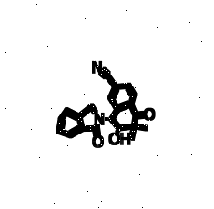 CC1(C)C(=O)c2ccc(C#N)cc2[C@@H](N2Cc3ccccc3C2=O)[C@@H]1O